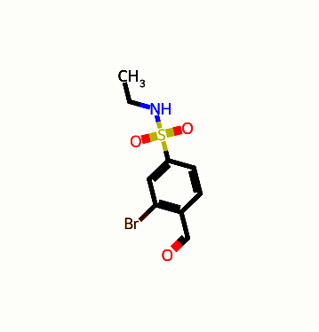 CCNS(=O)(=O)c1ccc(C=O)c(Br)c1